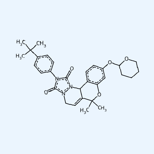 CC1(C)Oc2cc(OC3CCCCO3)ccc2C2C1=CCn1c(=O)n(-c3ccc(C(C)(C)C)cc3)c(=O)n12